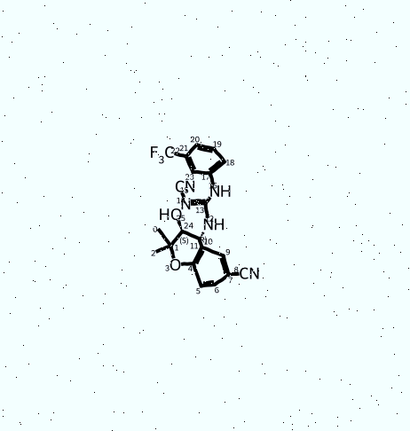 CC1(C)Oc2ccc(C#N)cc2[C@@H](NC(=NC#N)Nc2cccc(C(F)(F)F)c2)[C@@H]1O